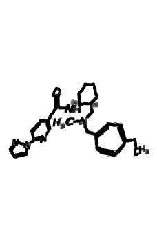 CCc1ccc(CN(C)C[C@@H]2CCCC[C@H]2NC(=O)c2ccc(-n3cccn3)nc2)cc1